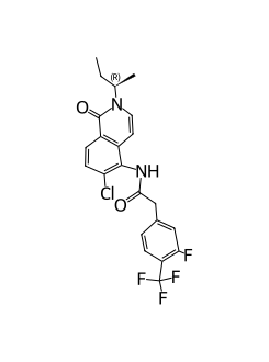 CC[C@@H](C)n1ccc2c(NC(=O)Cc3ccc(C(F)(F)F)c(F)c3)c(Cl)ccc2c1=O